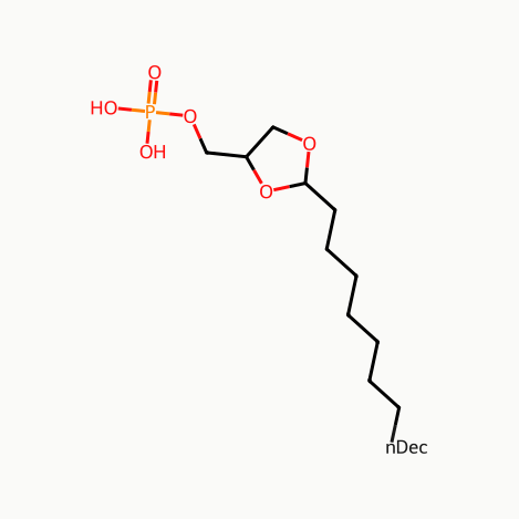 CCCCCCCCCCCCCCCCCC1OCC(COP(=O)(O)O)O1